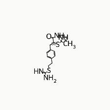 CC(=N)S[C@@H](Cc1ccc(CCSC(=N)N)cc1)C(N)=O